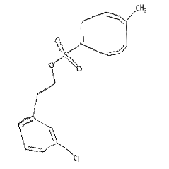 Cc1ccc(S(=O)(=O)OCCc2cccc(Cl)c2)cc1